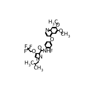 COc1cc2nccc(Oc3ccc(NC(=O)c4nn(CC(C)C)cc4OCC(F)(F)F)c(F)c3)c2cc1OC